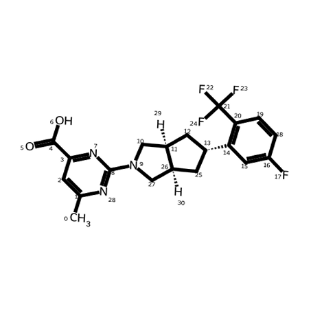 Cc1cc(C(=O)O)nc(N2C[C@H]3C[C@H](c4cc(F)ccc4C(F)(F)F)C[C@H]3C2)n1